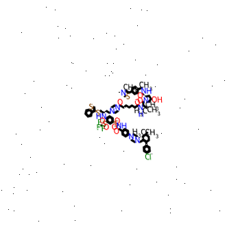 Cc1ncsc1-c1ccc([C@H](C)NC(=O)[C@@H]2C[C@@H](O)CN2C(=O)[C@@H](NC(=O)CCCCCC(=O)N2CCN(CC[C@H](CSc3csc4ccccc34)Nc3ccc(S(=O)(=O)NC(=O)c4ccc(N5CCN(CC6=C(c7ccc(Cl)cc7)CCC(C)(C)C6)CC5)cc4)cc3S(=O)(=O)C(F)(F)F)CC2)C(C)(C)C)cc1